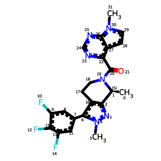 C[C@H]1c2nn(C)c(-c3cc(F)c(F)c(F)c3)c2CCN1C(=O)c1ncnc2c1ccn2C